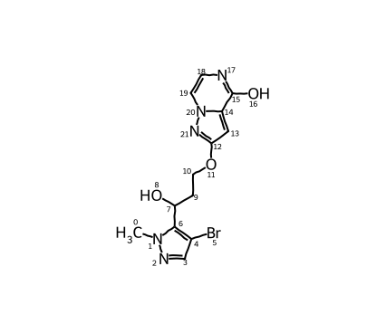 Cn1ncc(Br)c1C(O)CCOc1cc2c(O)nccn2n1